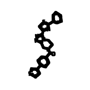 O=C(c1ccc(-c2ccsc2)cc1)N1CCn2c(nnc2-c2csc(-c3ccccc3)n2)C1